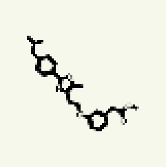 COC(=O)Cc1cccc(OCCc2nc(-c3ccc(CC(C)C)cc3)oc2C)c1